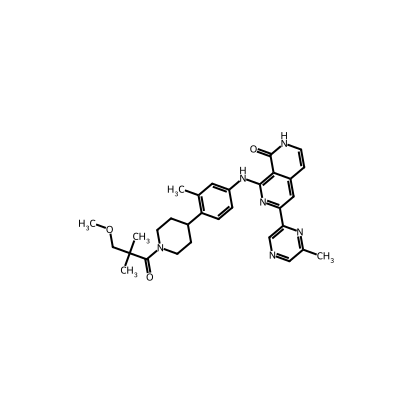 COCC(C)(C)C(=O)N1CCC(c2ccc(Nc3nc(-c4cncc(C)n4)cc4cc[nH]c(=O)c34)cc2C)CC1